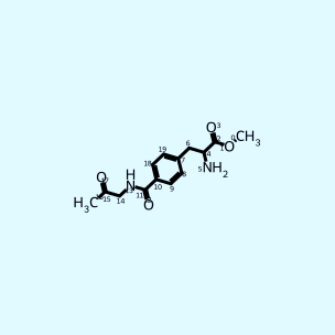 COC(=O)C(N)Cc1ccc(C(=O)NCC(C)=O)cc1